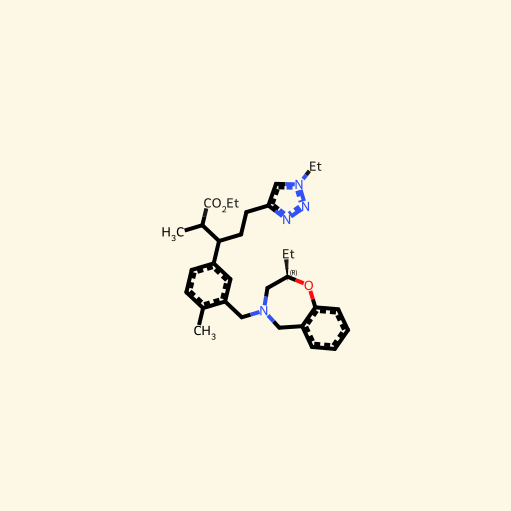 CCOC(=O)C(C)C(CCc1cn(CC)nn1)c1ccc(C)c(CN2Cc3ccccc3O[C@H](CC)C2)c1